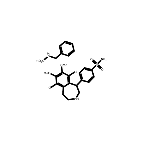 COc1c(Cl)c2c(c(Cl)c1OC)C(c1ccc(S(N)(=O)=O)cc1)CNCC2.O=C(O)NCc1ccccc1